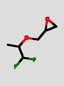 CC(OCC1CO1)C(F)F